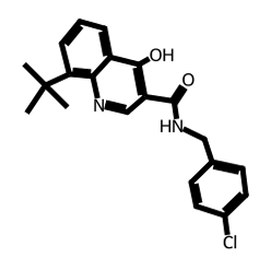 CC(C)(C)c1cccc2c(O)c(C(=O)NCc3ccc(Cl)cc3)cnc12